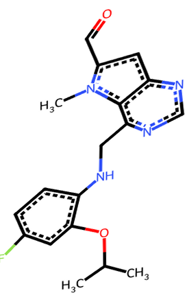 CC(C)Oc1cc(F)ccc1NCc1ncnc2cc(C=O)n(C)c12